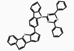 c1ccc(-c2nc(-c3ccccc3)nc(-n3c4ccccc4c4ccc(-c5cccc6c5sc5c7ccccc7ccc65)cc43)n2)cc1